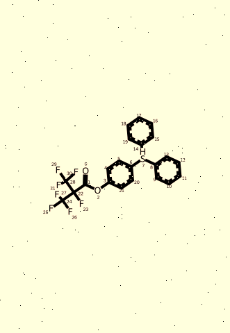 O=C(Oc1ccc([SH](c2ccccc2)c2ccccc2)cc1)C(F)(C(F)(F)F)C(F)(F)F